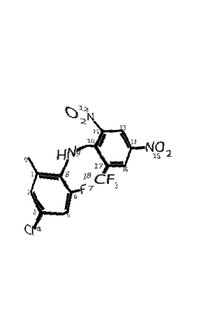 Cc1cc(Cl)cc(F)c1Nc1c([N+](=O)[O-])cc([N+](=O)[O-])cc1C(F)(F)F